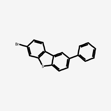 Brc1ccc2c(c1)sc1ccc(-c3ccccc3)cc12